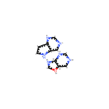 c1ncc2[nH]ccc2n1.c1ncc2ocnc2n1